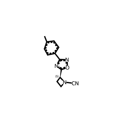 Cc1ccc(-c2noc([C@@H]3CCN3C#N)n2)cc1